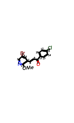 COc1ncc(Br)cc1C=CC(=O)c1ccc(Cl)cc1